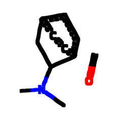 C=O.CN(C)C1Cc2ccc1cc2